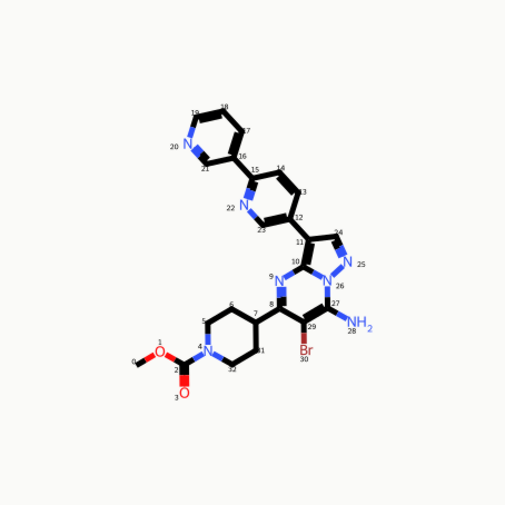 COC(=O)N1CCC(c2nc3c(-c4ccc(-c5cccnc5)nc4)cnn3c(N)c2Br)CC1